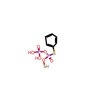 O=P(O)(O)OP(=O)(OS)Sc1ccccc1